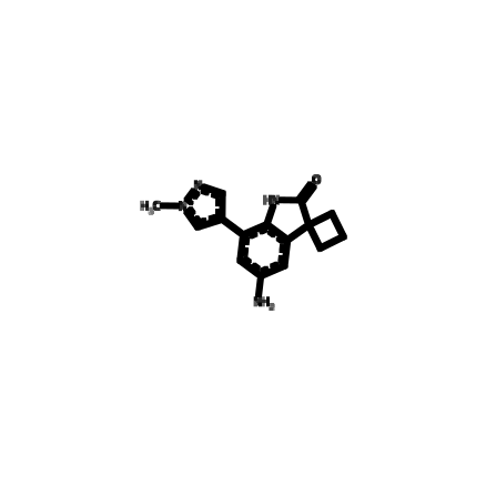 Cn1cc(-c2cc(N)cc3c2NC(=O)C32CCC2)cn1